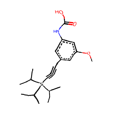 COc1cc(C#C[Si](C(C)C)(C(C)C)C(C)C)cc(NC(=O)O)c1